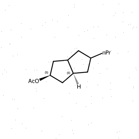 CCCC1CC2C[C@H](OC(C)=O)C[C@@H]2C1